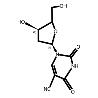 N#Cc1cn([C@H]2C[C@@H](O)C(CO)O2)c(=O)[nH]c1=O